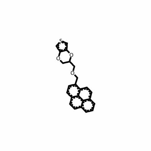 c1cc2ccc3ccc(COCC4COc5cscc5O4)c4ccc(c1)c2c34